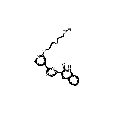 CCOCCOCCOc1cc(-c2nc(-c3cc4ccccc4[nH]c3=O)cs2)ccn1